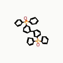 O=P(c1ccccc1)(c1ccccc1)c1cccc(-c2cccc(P(=O)(c3ccccc3)c3ccccc3)c2)c1